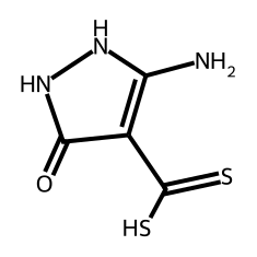 Nc1[nH][nH]c(=O)c1C(=S)S